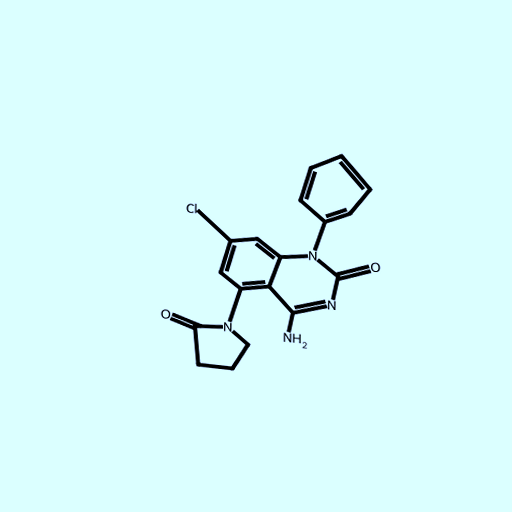 Nc1nc(=O)n(-c2ccccc2)c2cc(Cl)cc(N3CCCC3=O)c12